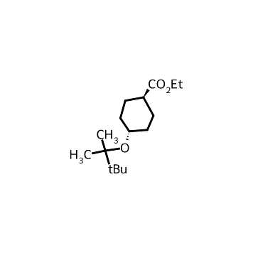 CCOC(=O)[C@H]1CC[C@H](OC(C)(C)C(C)(C)C)CC1